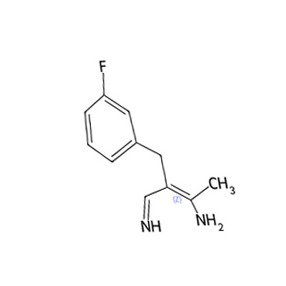 C/C(N)=C(/C=N)Cc1cccc(F)c1